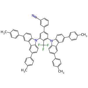 Cc1ccc(-c2ccc3c(c2)c2cc(-c4ccc(C)cc4)ccc2n3-c2cc(-c3cccc(C#N)c3)cc(-n3c4ccc(-c5ccc(C)cc5)cc4c4cc(-c5ccc(C)cc5)ccc43)c2C(F)(F)F)cc1